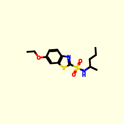 CCCC(C)NS(=O)(=O)c1nc2ccc(OCC)cc2s1